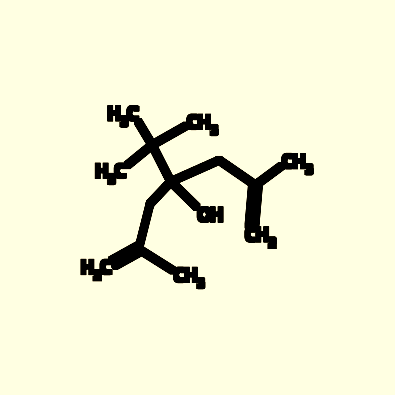 C=C(C)CC(O)(CC(=C)C)C(C)(C)C